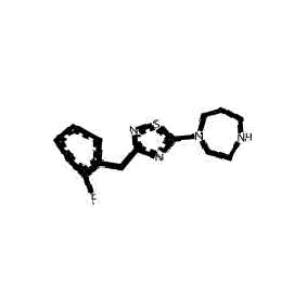 Fc1ccccc1Cc1nsc(N2CCCNCC2)n1